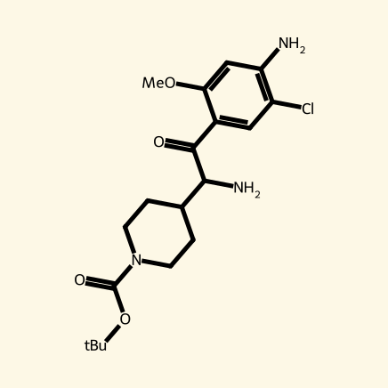 COc1cc(N)c(Cl)cc1C(=O)C(N)C1CCN(C(=O)OC(C)(C)C)CC1